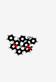 CC(C)(C)c1cc(N(c2ccc(-c3ccccc3)cc2)c2c(-c3ccccc3)cccc2-c2ccccc2)cc(C(O)(c2ccccc2)c2ccccc2)c1